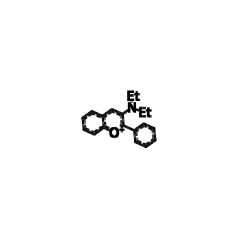 CCN(CC)c1cc2ccccc2[o+]c1-c1ccccc1